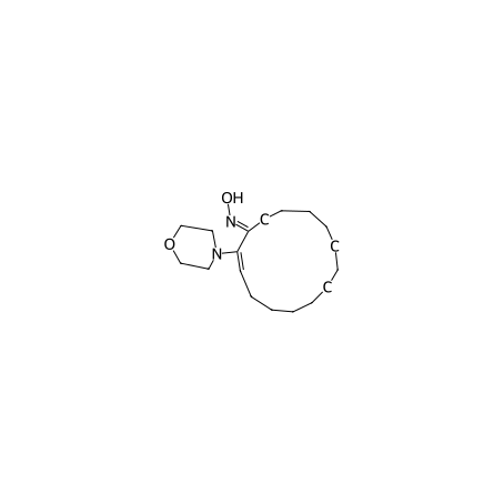 ON=C1CCCCCCCCCCCC=C1N1CCOCC1